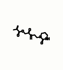 C=C(C)C(=O)OCC(=O)NCCN1CCCNC1=O